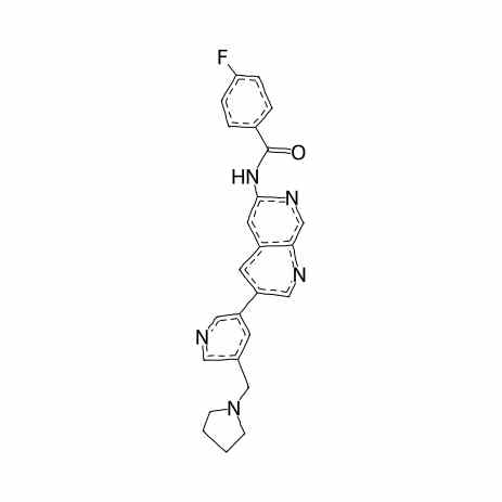 O=C(Nc1cc2cc(-c3cncc(CN4CCCC4)c3)cnc2cn1)c1ccc(F)cc1